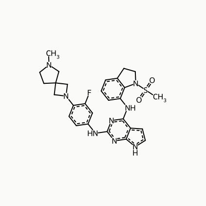 CN1CCC2(C1)CN(c1ccc(Nc3nc(Nc4cccc5c4N(S(C)(=O)=O)CC5)c4cc[nH]c4n3)cc1F)C2